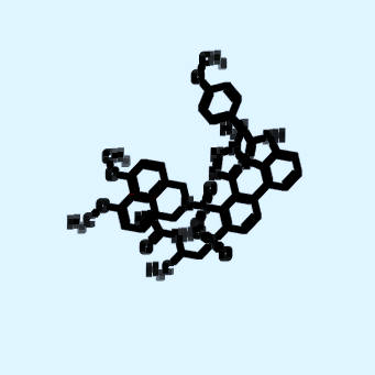 COc1ccc(CN(Cc2ccc(OC)cc2)S(=O)(=O)c2c(S(=O)(=O)CC(C)NC(=O)O)ccc(-c3cccc4[nH]c(N)nc34)c2-c2nnn(Cc3ccc(OC)cc3)n2)cc1